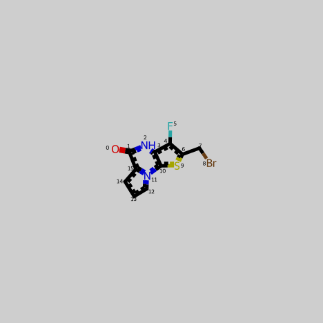 O=c1[nH]c2c(F)c(CBr)sc2n2cccc12